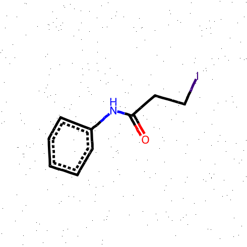 O=C(CCI)Nc1ccccc1